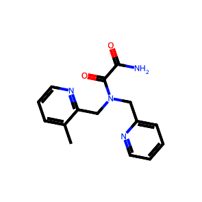 Cc1cccnc1CN(Cc1ccccn1)C(=O)C(N)=O